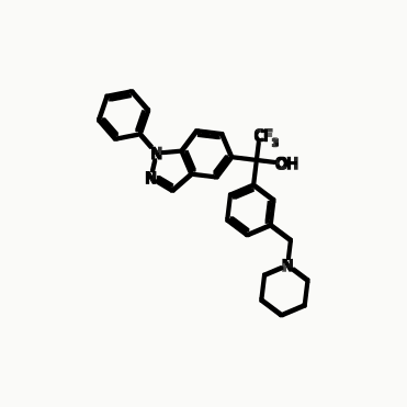 OC(c1cccc(CN2CCCCC2)c1)(c1ccc2c(cnn2-c2ccccc2)c1)C(F)(F)F